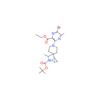 CCOC(=O)c1nc(Br)c(C)nc1N1CCC(C2CC2)(C(C)NC(=O)OC(C)(C)C)CC1